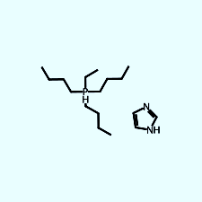 CCCC[PH](CC)(CCCC)CCCC.c1c[nH]cn1